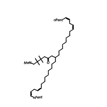 CCCCC/C=C\C/C=C\CCCCCCCCC(CCCCCCCC/C=C\C/C=C\CCCCC)CC(=O)CC(C)(C)C(C)(C)CNC